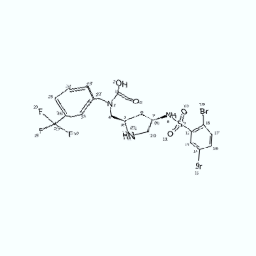 O=C(O)N(C[C@H]1C[C@@H](NS(=O)(=O)c2cc(Br)ccc2Br)CN1)c1cccc(C(F)(F)F)c1